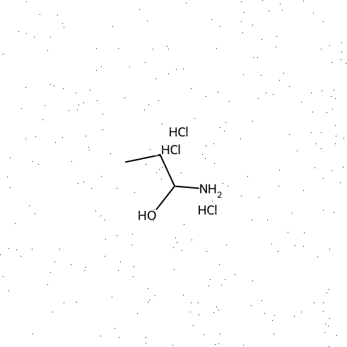 CCC(N)O.Cl.Cl.Cl